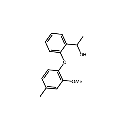 COc1cc(C)ccc1Oc1ccccc1C(C)O